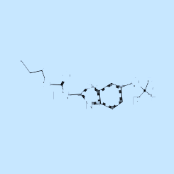 CCCOC(=O)Nc1nc2ccc(OC(F)(F)F)cc2s1